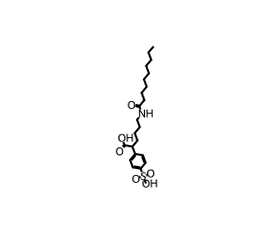 CCCCCCCCCC(=O)NCCCCC(C(=O)O)c1ccc(S(=O)(=O)O)cc1